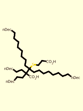 CCCCCCCCCCCCCCCCCCC(CCCCCCCCCCCCCCCCCC)(SCCC(=O)O)C(CCCCCCCCCCCC)(CCCCCCCCCCCC)C(=O)O